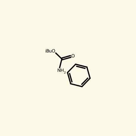 CC(C)COC(N)=O.c1ccccc1